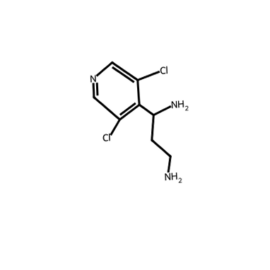 NCCC(N)c1c(Cl)cncc1Cl